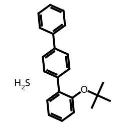 CC(C)(C)Oc1ccccc1-c1ccc(-c2ccccc2)cc1.S